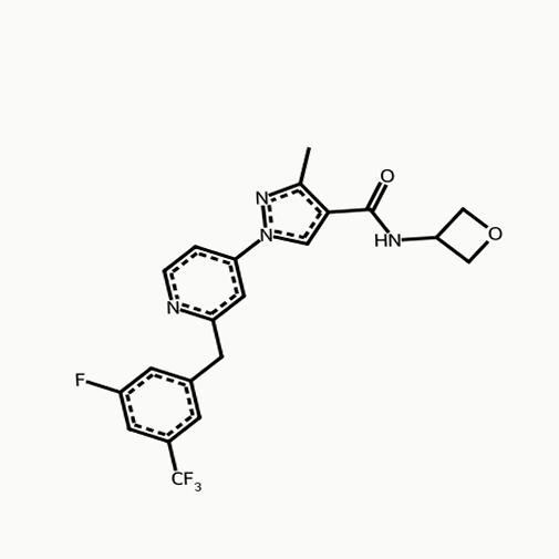 Cc1nn(-c2ccnc(Cc3cc(F)cc(C(F)(F)F)c3)c2)cc1C(=O)NC1COC1